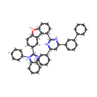 c1ccc(-c2cccc(-c3cc(-c4ccccc4)nc(-c4cccc5oc6ccc(-c7nc8ccccc8n7-c7ccccc7)cc6c45)n3)c2)cc1